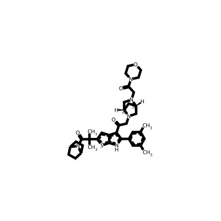 Cc1cc(C)cc(-c2[nH]c3sc(C(C)(C)C(=O)N4C5CCC4CC5)cc3c2C(=O)CN2C[C@@H]3C[C@H]2CN3CC(=O)N2CCOCC2)c1